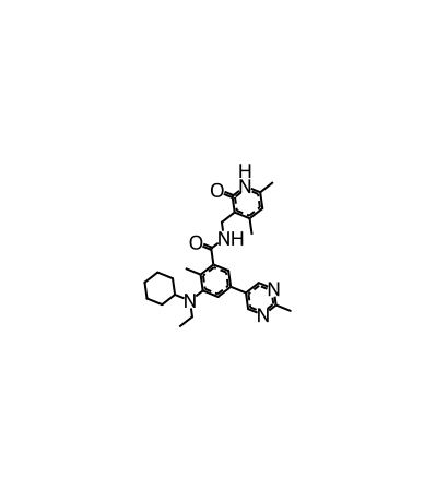 CCN(c1cc(-c2cnc(C)nc2)cc(C(=O)NCc2c(C)cc(C)[nH]c2=O)c1C)C1CCCCC1